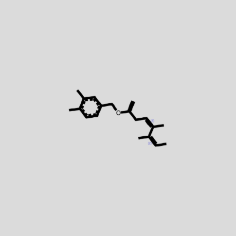 C=C(C/C=C(C)\C(C)=C/C)OCc1ccc(C)c(C)c1